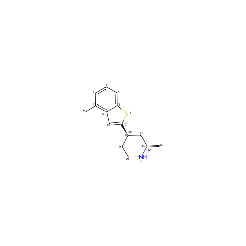 Cc1cccc2sc([C@@H]3CCN[C@H](C)C3)cc12